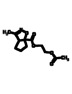 CC(=O)OCCOC(=O)C12CCCC1C(C)=NO2